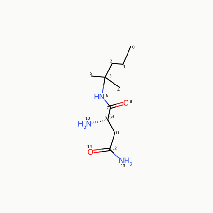 CCCC(C)(C)NC(=O)[C@@H](N)CC(N)=O